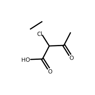 CC.CC(=O)C(Cl)C(=O)O